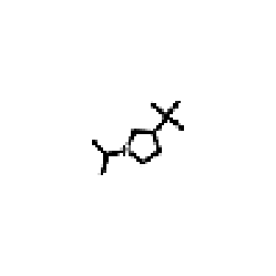 CC(C)N1CCC(C(C)(C)C)C1